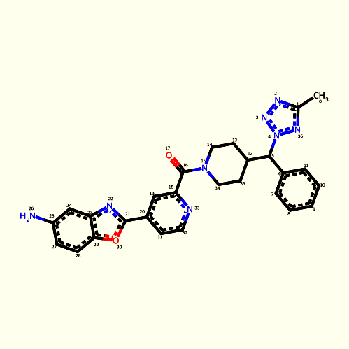 Cc1nnn(C(c2ccccc2)C2CCN(C(=O)c3cc(-c4nc5cc(N)ccc5o4)ccn3)CC2)n1